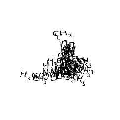 CCCCCCCC[C@H](NC(=O)[C@@H]1CCCN1C(=O)CCCCC)C(=O)N[C@@H](CC(C)C)C(=O)NC(C)(C)C(=O)N[C@@H](CC(C)C)C(=O)N[C@@H](CC(C)C)C(=O)NC(C)(C)C(=O)NC(C)(C)C(=O)NCCC(=O)NC1CCC(N(C)C)CC1